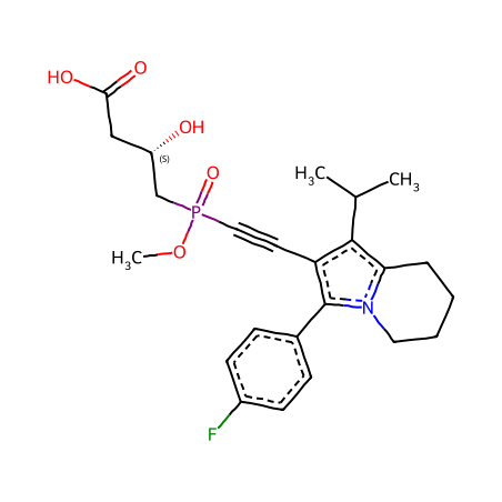 COP(=O)(C#Cc1c(C(C)C)c2n(c1-c1ccc(F)cc1)CCCC2)C[C@@H](O)CC(=O)O